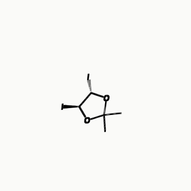 CC1(C)O[C@@H](I)[C@H](I)O1